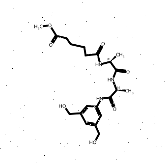 COC(=O)CCCCC(=O)N[C@@H](C)C(=O)N[C@@H](C)C(=O)Nc1cc(CO)cc(CO)c1